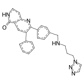 O=c1[nH]ccc2nc(-c3ccc(CNCCCn4ccnn4)cc3)c(-c3ccccc3)cc12